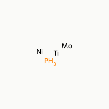 P.[Mo].[Ni].[Ti]